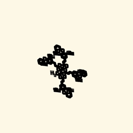 CC(OC(=O)CCc1cc(C(C)(C)C)c(OC2CCCCO2)c(C(C)(C)C)c1)C(OC(=O)CCc1cc(C(C)(C)C)c(OC2CCCCO2)c(C(C)(C)C)c1)C(COC(=O)CCc1cc(C(C)(C)C)c(OC2CCCCO2)c(C(C)(C)C)c1)OC(=O)CCc1cc(C(C)(C)C)c(OC2CCCCO2)c(C(C)(C)C)c1